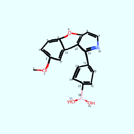 COc1ccc2oc3ccnc(-c4ccc(B(O)O)cc4)c3c2c1